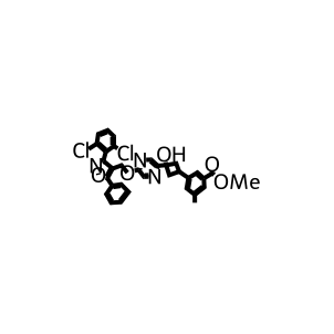 COC(=O)c1cc(C)cc(C2CC(O)(c3cnc(OCc4c(-c5c(Cl)cccc5Cl)noc4-c4ccccc4)cn3)C2)c1